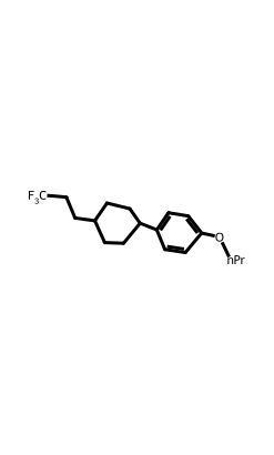 CCCOc1ccc(C2CCC(CCC(F)(F)F)CC2)cc1